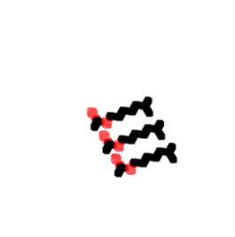 CC(=O)OCCCCCC(C)C.CC(=O)OCCCCCC(C)C.CC(=O)OCCCCCC(C)C